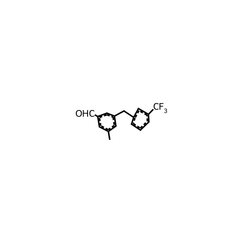 Cc1cc(C=O)cc(Cc2cccc(C(F)(F)F)c2)c1